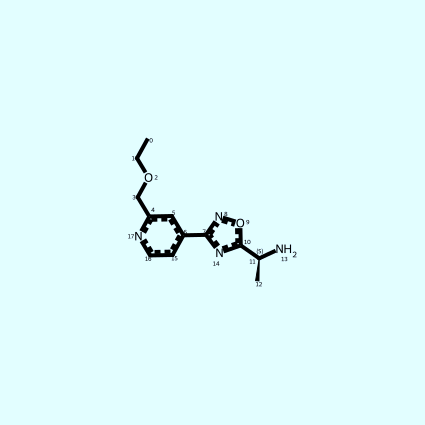 CCOCc1cc(-c2noc([C@H](C)N)n2)ccn1